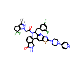 O=C(Cn1nc(C(F)(F)F)c2c1C(F)(F)CC2)NC(Cc1cc(F)cc(F)c1)c1nc2nc(N3CCN(c4ccncc4)CC3)sc2cc1-c1cccc2c1CNC2=O